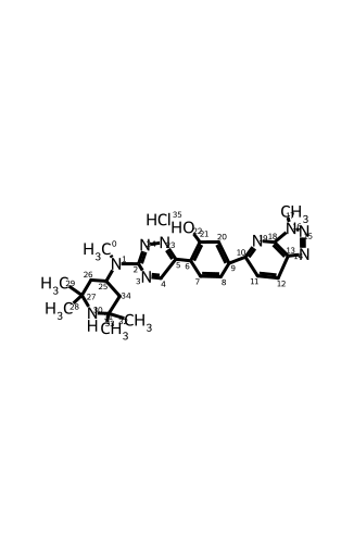 CN(c1ncc(-c2ccc(-c3ccc4nnn(C)c4n3)cc2O)nn1)C1CC(C)(C)NC(C)(C)C1.Cl